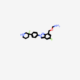 NCOCc1cc(F)cc2cn(-c3ccc(C4(F)CCCNC4)cc3)nc12